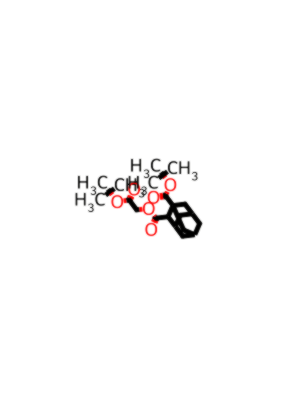 CC(C)(C)OC(=O)COC(=O)C1C2CC3CC(C2)CC1(C(=O)OC(C)(C)C)C3